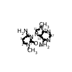 Cn1ccc(N)nc1=O.Cn1cnc2c(N)ncnc21